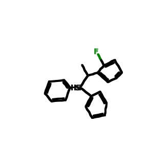 CC(c1ccccc1F)[SiH](c1ccccc1)c1ccccc1